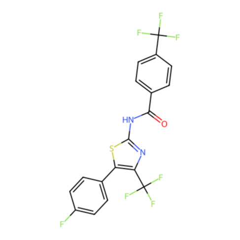 O=C(Nc1nc(C(F)(F)F)c(-c2ccc(F)cc2)s1)c1ccc(C(F)(F)F)cc1